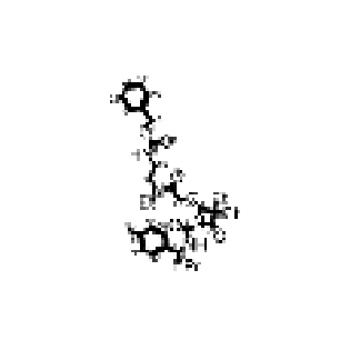 CCCC(NC(=O)N1C(=O)C(CC)(CC)C1OCC(=O)N(CC)CCNC(=O)OCc1ccccc1)c1ccc(C)cc1